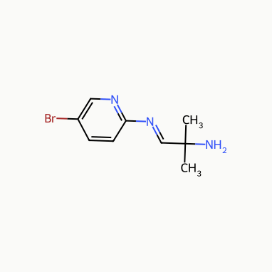 CC(C)(N)/C=N/c1ccc(Br)cn1